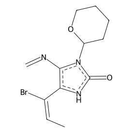 C=Nc1c(/C(Br)=C\C)[nH]c(=O)n1C1CCCCO1